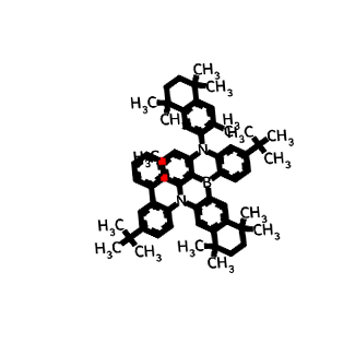 Cc1cc2c3c(c1)N(c1ccc(C(C)(C)C)cc1-c1ccccc1)c1cc4c(cc1B3c1ccc(C(C)(C)C)cc1N2c1cc2c(cc1C)C(C)(C)CCC2(C)C)C(C)(C)CCC4(C)C